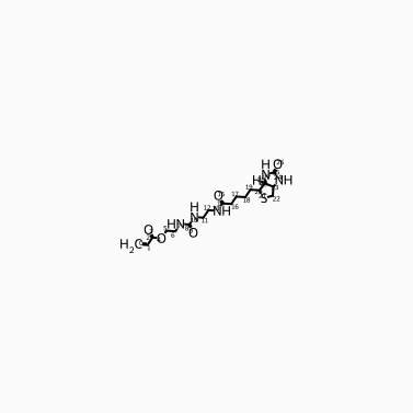 C=CC(=O)OCCNC(=O)NCCNC(=O)CCCCC1SCC2NC(=O)N[C@H]21